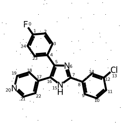 Fc1ccc(-c2nc(-c3cccc(Cl)c3)[nH]c2-c2ccncc2)cc1